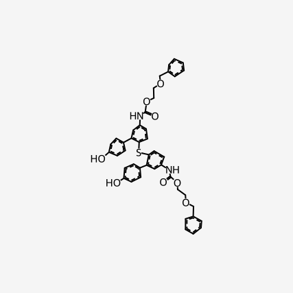 O=C(Nc1ccc(Sc2ccc(NC(=O)OCCOCc3ccccc3)cc2-c2ccc(O)cc2)c(-c2ccc(O)cc2)c1)OCCOCc1ccccc1